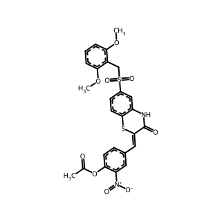 COc1cccc(OC)c1CS(=O)(=O)c1ccc2c(c1)NC(=O)/C(=C/c1ccc(OC(C)=O)c([N+](=O)[O-])c1)S2